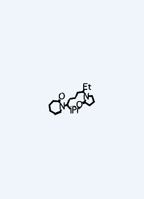 CCC(CCCC(C(C)C)N1CCCCCC1=O)N1CCCC1=O